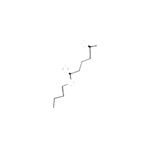 CCCCOC(=O)CCCC(C)=O